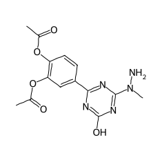 CC(=O)Oc1ccc(-c2nc(O)nc(N(C)N)n2)cc1OC(C)=O